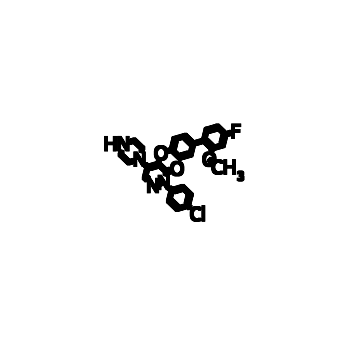 COc1cc(F)ccc1-c1ccc(Oc2c(N3CCNCC3)cnn(-c3ccc(Cl)cc3)c2=O)cc1